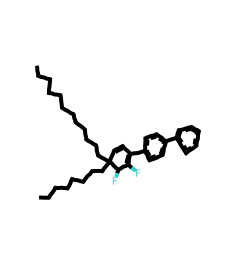 CCCCCCCCCCCCC1(CCCCCCCC)C=CC(c2ccc(-c3ccccc3)cc2)=C(F)C1F